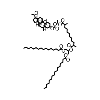 CCCCCCCCCCCCCCCC(=O)OCC(COC(=O)CCCCCCCCCCCCCCC)OC(=O)C(C)CCCCCCCCC(C)C(=O)OC(C)OC(=O)O[C@@H]1CC[C@@]2(C)[C@@H](CC[C@@H]3[C@@H]2CC[C@]2(C)[C@@H](C(C)=O)CC[C@@H]32)C1